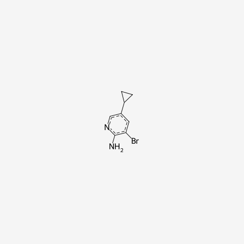 Nc1ncc(C2CC2)cc1Br